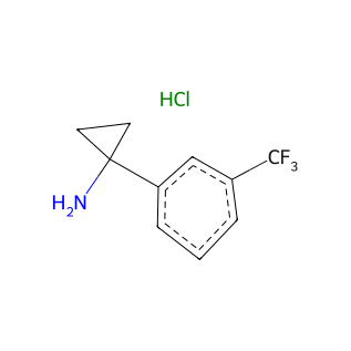 Cl.NC1(c2cccc(C(F)(F)F)c2)CC1